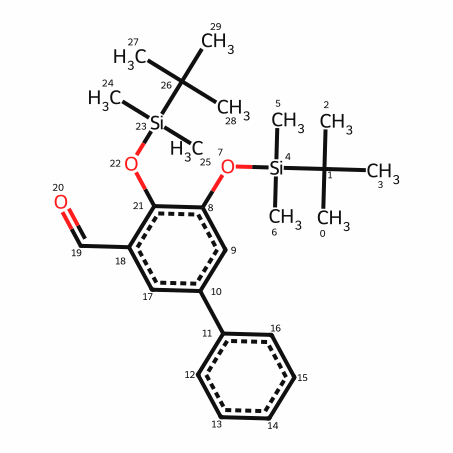 CC(C)(C)[Si](C)(C)Oc1cc(-c2ccccc2)cc(C=O)c1O[Si](C)(C)C(C)(C)C